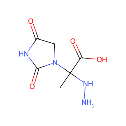 CC(NN)(C(=O)O)N1CC(=O)NC1=O